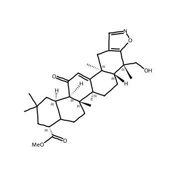 COC(=O)[C@@H]1CC(C)(C)C[C@@H]2C1CC[C@]1(C)[C@@H]2C(=O)C=C2[C@@]3(C)Cc4cnoc4[C@](C)(CO)[C@@H]3CC[C@]21C